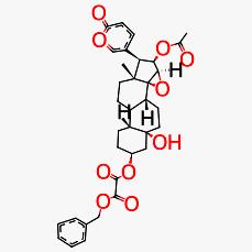 CC(=O)O[C@H]1[C@H]2O[C@]23[C@@H]2CC[C@]4(O)C[C@@H](OC(=O)C(=O)OCc5ccccc5)CC[C@]4(C)[C@H]2CC[C@]3(C)[C@H]1c1ccc(=O)oc1